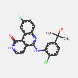 CC(C)(O)c1ccc(Cl)c(Nc2nc3ccc(F)cc3c3c(=O)[nH]ccc23)c1